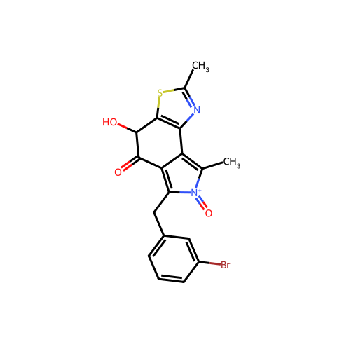 CC1=C2C(=C(Cc3cccc(Br)c3)[N+]1=O)C(=O)C(O)c1sc(C)nc12